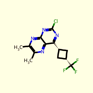 Cc1nc2nc(Cl)nc([C@H]3C[C@@H](C(F)(F)F)C3)c2nc1C